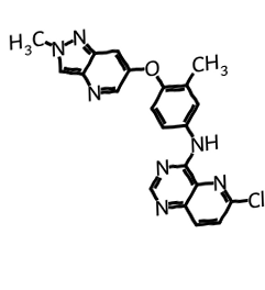 Cc1cc(Nc2ncnc3ccc(Cl)nc23)ccc1Oc1cnc2cn(C)nc2c1